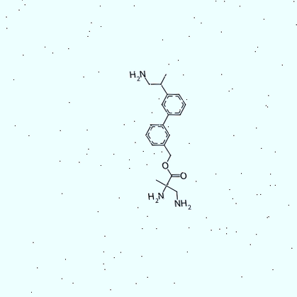 CC(CN)c1cccc(-c2cccc(COC(=O)C(C)(N)CN)c2)c1